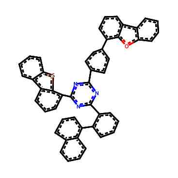 c1ccc(-c2cccc3ccccc23)c(-c2nc(-c3ccc(-c4cccc5c4oc4ccccc45)cc3)nc(-c3cccc4c3sc3ccccc34)n2)c1